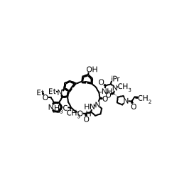 C=CC(=O)N1CC[C@H](C(=O)N(C)C(C(=O)N[C@H]2Cc3cc(O)cc(c3)-c3ccc4c(c3)c(c(-c3cccnc3COCC)n4CC)CC(C)(C)COC(=O)[C@@H]3CCCN(N3)C2=O)C(C)C)C1